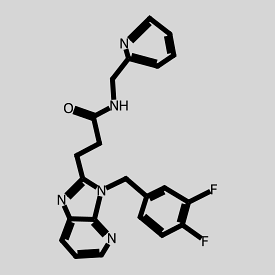 O=C(CCc1nc2cccnc2n1Cc1ccc(F)c(F)c1)NCc1ccccn1